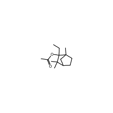 CCC1(OC(C)=O)C2(C)CCC(C2)C1(C)C